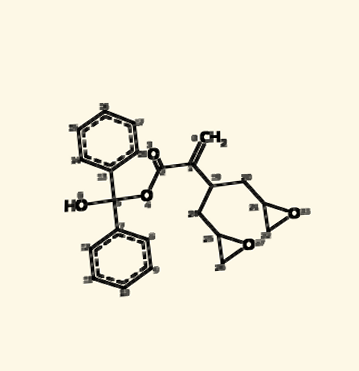 C=C(C(=O)OC(O)(c1ccccc1)c1ccccc1)C(CC1CO1)CC1CO1